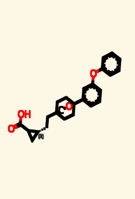 O=C(O)C1C[C@H]1CCC12CCC(c3cccc(Oc4ccccc4)c3)(CC1)OC2